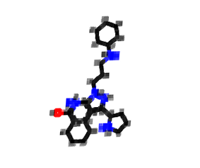 O=c1[nH]c2c(c(C3CCCN3)nn2CCCNC2CCCCC2)c2c1CCCC2